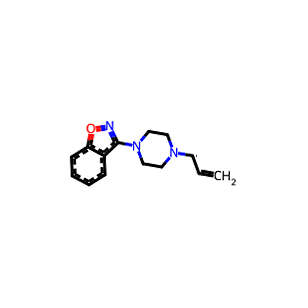 C=C[CH]N1CCN(c2noc3ccccc23)CC1